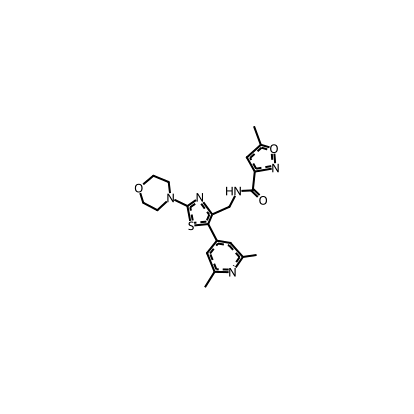 Cc1cc(-c2sc(N3CCOCC3)nc2CNC(=O)c2cc(C)on2)cc(C)n1